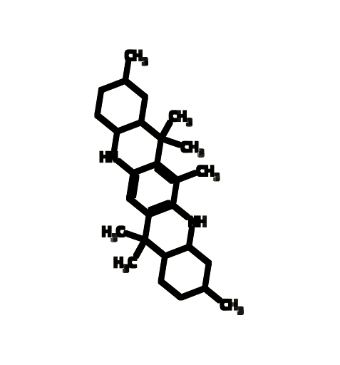 Cc1c2c(cc3c1C(C)(C)C1CC(C)CCC1N3)C(C)(C)C1CCC(C)CC1N2